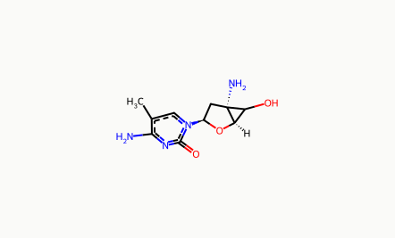 Cc1cn([C@H]2C[C@@]3(N)C(O)[C@H]3O2)c(=O)nc1N